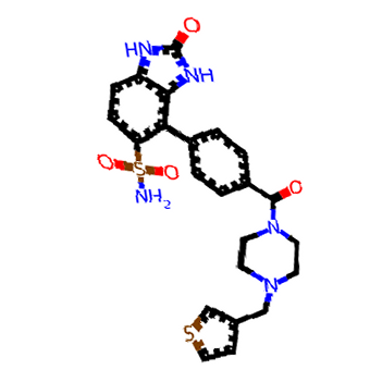 NS(=O)(=O)c1ccc2[nH]c(=O)[nH]c2c1-c1ccc(C(=O)N2CCN(Cc3ccsc3)CC2)cc1